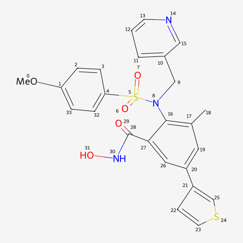 COc1ccc(S(=O)(=O)N(Cc2cccnc2)c2c(C)cc(-c3ccsc3)cc2C(=O)NO)cc1